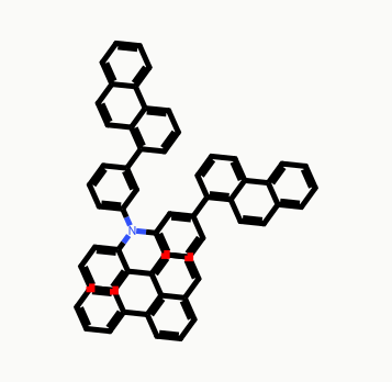 c1ccc(-c2cccc3cccc(-c4ccccc4N(c4cccc(-c5cccc6c5ccc5ccccc56)c4)c4cccc(-c5cccc6c5ccc5ccccc56)c4)c23)cc1